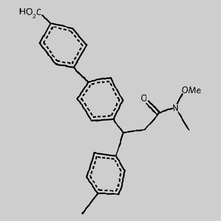 CON(C)C(=O)CC(c1ccc(C)cc1)c1ccc(-c2ccc(C(=O)O)cc2)cc1